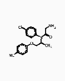 CC(COc1ccc(C#N)cc1)N(C(=O)CN)c1ccc(Cl)cc1